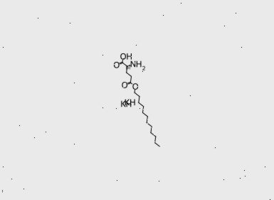 CCCCCCCCCCCCOC(=O)CC[C@H](N)C(=O)O.[KH].[KH]